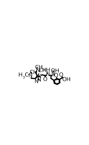 CN(C)Cc1nnn(CC(=O)NC2Cc3cccc(C(=O)O)c3OB2O)c1CN(C)C